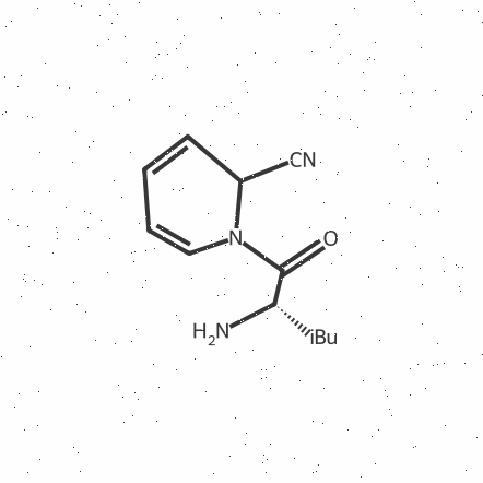 CCC(C)[C@H](N)C(=O)N1C=CC=CC1C#N